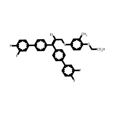 CCC(CSc1ccc(OCC(=O)O)c(C)c1)=C(c1ccc(-c2ccc(F)c(F)c2)cc1)c1ccc(-c2ccc(F)c(F)c2)cc1